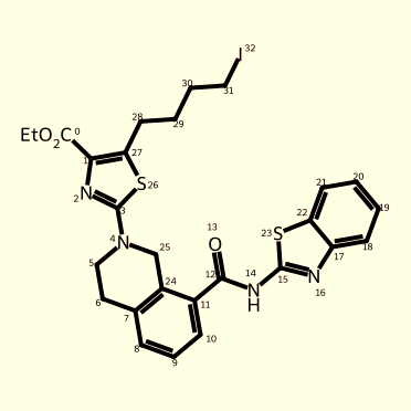 CCOC(=O)c1nc(N2CCc3cccc(C(=O)Nc4nc5ccccc5s4)c3C2)sc1CCCCI